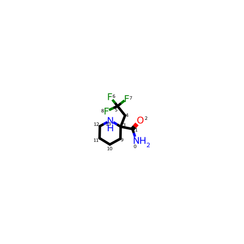 NC(=O)C1(CC(F)(F)F)CCCCN1